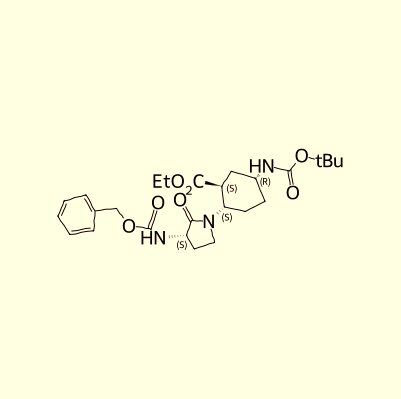 CCOC(=O)[C@H]1C[C@H](NC(=O)OC(C)(C)C)CC[C@@H]1N1CC[C@H](NC(=O)OCc2ccccc2)C1=O